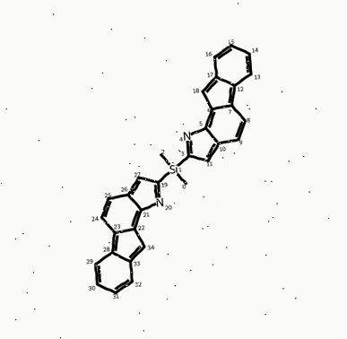 C[Si](C)(C1=Nc2c3c(ccc2=C1)=c1ccccc1=C3)C1=Nc2c3c(ccc2=C1)=c1ccccc1=C3